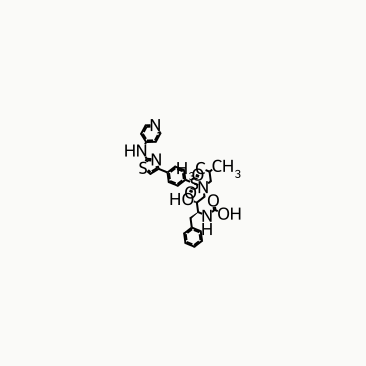 CC(C)CN(C[C@H](O)[C@H](Cc1ccccc1)NC(=O)O)S(=O)(=O)c1ccc(-c2csc(Nc3ccncc3)n2)cc1